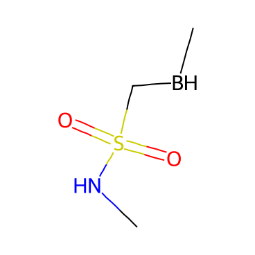 CBCS(=O)(=O)NC